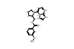 CCOc1cccc(C(=O)OCC2CCCN2c2ccnc3ncnn23)c1